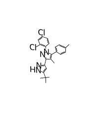 Cc1ccc(-c2c(C)c(-c3cc(C(C)(C)C)[nH]n3)nn2-c2ccc(Cl)cc2Cl)cc1